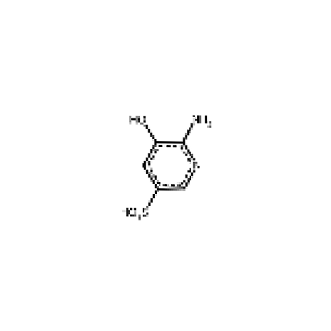 Nc1ncc(S(=O)(=O)O)cc1O